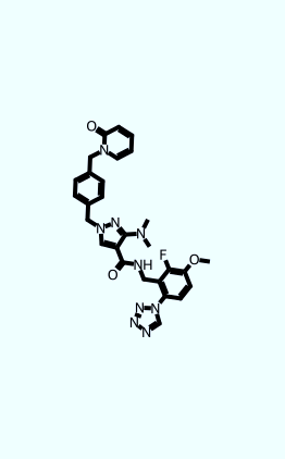 COc1ccc(-n2cnnn2)c(CNC(=O)c2cn(Cc3ccc(Cn4ccccc4=O)cc3)nc2N(C)C)c1F